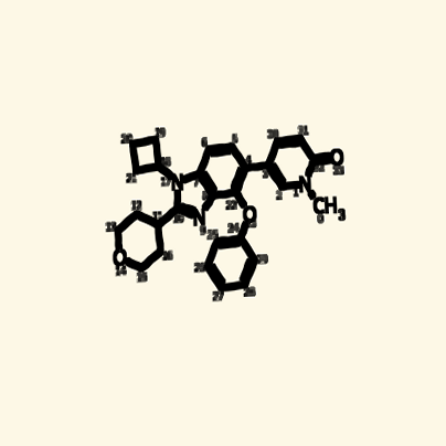 Cn1cc(-c2ccc3c(nc(C4CCOCC4)n3C3CCC3)c2Oc2ccccc2)ccc1=O